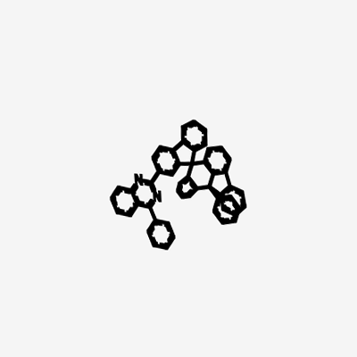 c1ccc(-c2nc(-c3ccc4c(c3)C3(c5ccccc5-4)c4ccccc4C4(c5ccccc5)c5ccccc5-c5cccc3c54)nc3ccccc23)cc1